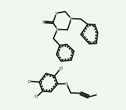 Clc1cc(Cl)c(OCC#CI)cc1Cl.S=C1SCN(Cc2ccccc2)CN1Cc1ccccc1